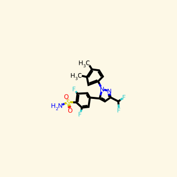 Cc1ccc(-n2nc(C(F)F)cc2-c2cc(F)c(S(N)(=O)=O)c(F)c2)cc1C